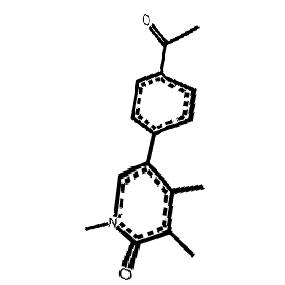 CC(=O)c1ccc(-c2cn(C)c(=O)c(C)c2C)cc1